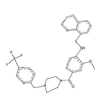 COc1cc(C(=O)N2CCN(Cc3ccc(C(F)(F)F)cc3)CC2)ccc1NSc1cccc2cccnc12